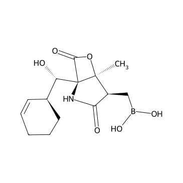 C[C@@]12OC(=O)[C@]1([C@@H](O)[C@@H]1C=CCCC1)NC(=O)[C@@H]2CB(O)O